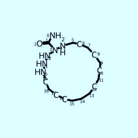 NC(=O)N1NCCCCCCCCCCCCCCCNNN1